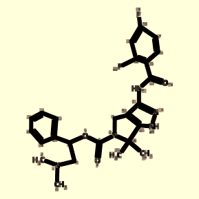 CN(C)CC(OC(=O)N1Cc2c(NC(=O)c3ccc(F)cc3F)n[nH]c2C1(C)C)c1ccccc1